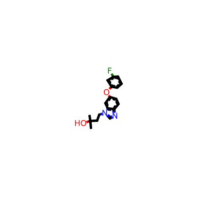 CC(C)(O)CCn1cnc2ccc(Oc3cccc(F)c3)cc21